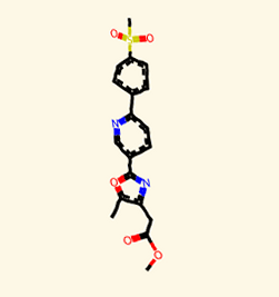 COC(=O)Cc1nc(-c2ccc(-c3ccc(S(C)(=O)=O)cc3)nc2)oc1C